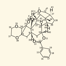 CC1OCCOC23C[C@H]4C[C@@H](OC(=O)c5ccccc5)[C@@H]5C([C@H](O)C[C@]6(C)[C@@H]1CC[C@H]56)[C@@]4(C)CC2OCCO3